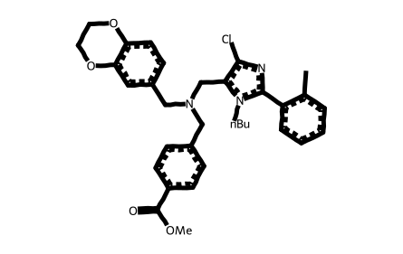 CCCCn1c(-c2ccccc2C)nc(Cl)c1CN(Cc1ccc(C(=O)OC)cc1)Cc1ccc2c(c1)OCCO2